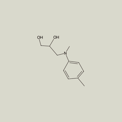 Cc1ccc(N(C)CC(O)CO)cc1